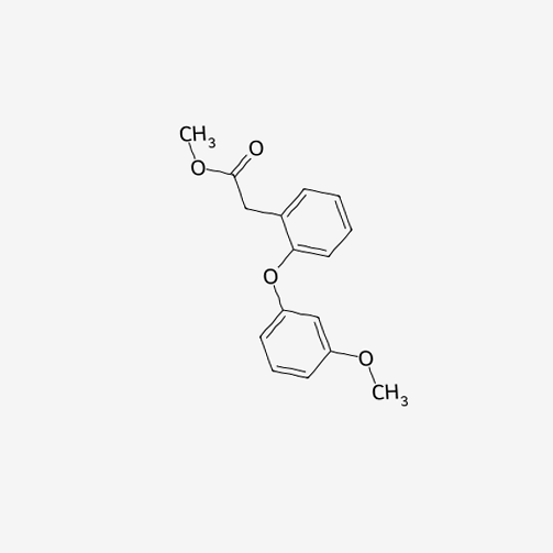 COC(=O)Cc1ccccc1Oc1cccc(OC)c1